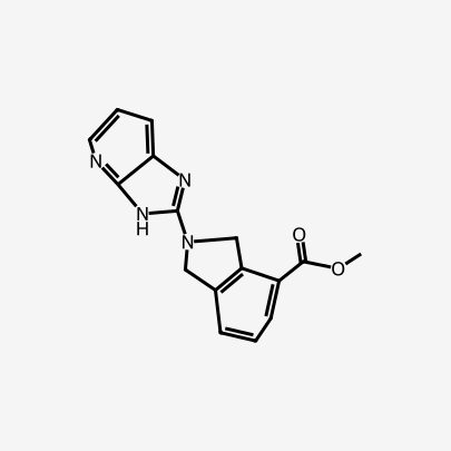 COC(=O)c1cccc2c1CN(c1nc3cccnc3[nH]1)C2